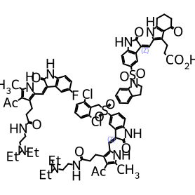 CCN(CC)CCNC(=O)CCc1c(/C=C2\C(=O)Nc3ccc(S(=O)(=O)Cc4c(Cl)cccc4Cl)cc32)[nH]c(C)c1C(C)=O.CCN(CC)CCNC(=O)CCc1c(C=C2C(=O)Nc3ccc(F)cc32)[nH]c(C)c1C(C)=O.O=C(O)CCc1c(/C=C2\C(=O)Nc3ccc(S(=O)(=O)N4CCc5ccccc54)cc32)[nH]c2c1C(=O)CCC2